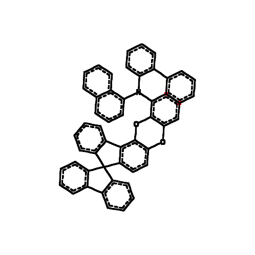 c1ccc(-c2ccccc2N(c2cccc3c2Oc2c(ccc4c2-c2ccccc2C42c4ccccc4-c4ccccc42)O3)c2cccc3ccccc23)cc1